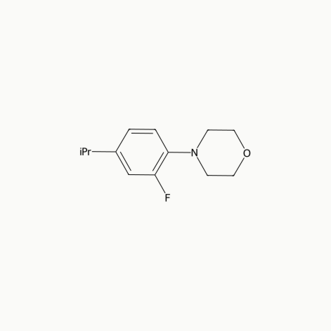 CC(C)c1ccc(N2CCOCC2)c(F)c1